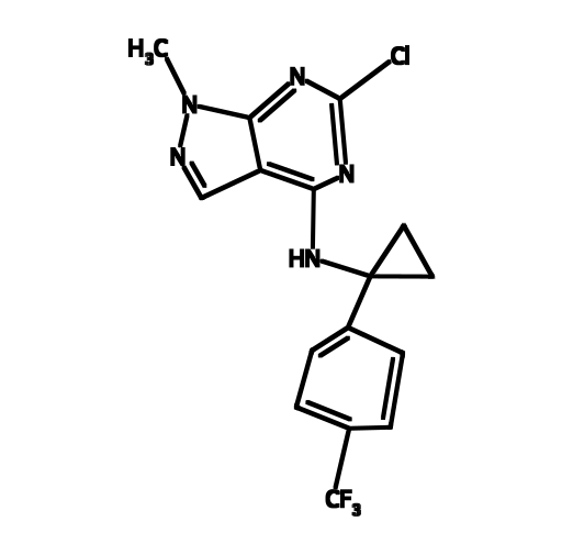 Cn1ncc2c(NC3(c4ccc(C(F)(F)F)cc4)CC3)nc(Cl)nc21